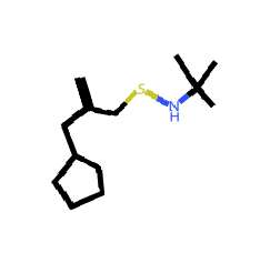 C=C(CSNC(C)(C)C)CC1CCCC1